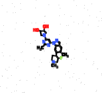 Cc1nc(N2CC(O)C(O)C2)cc(-n2ncc3cc(C)c([C@@H]4CCN(C)C[C@@H]4F)cc32)n1